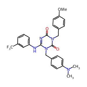 COc1ccc(Cn2c(=O)nc(Nc3cccc(C(F)(F)F)c3)n(Cc3ccc(N(C)C)cc3)c2=O)cc1